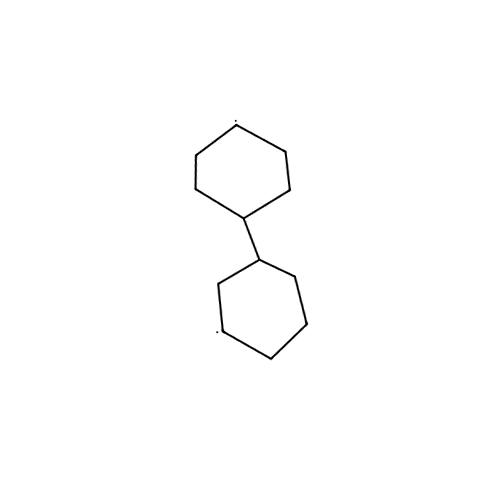 [CH]1CCC(C2C[CH]CCC2)CC1